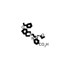 CC(Oc1ccc2c(c1)CN(Cc1nc3ccc(C(=O)O)cc3n1C[C@@H]1CCO1)CC2)c1ccccc1